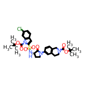 CC(C)(C)OC(=O)N1CCc2cc(N3CC[C@H](NS(=O)(=O)c4cc5ccc(Cl)cc5n4C(=O)OC(C)(C)C)C3=O)ccc2C1